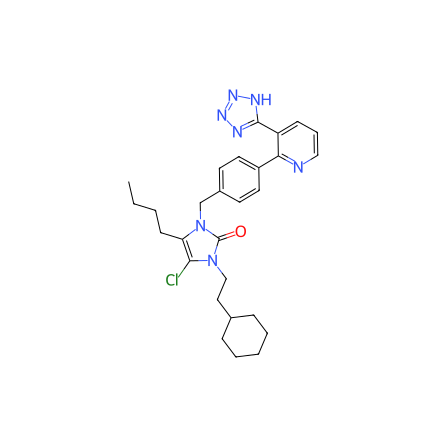 CCCCc1c(Cl)n(CCC2CCCCC2)c(=O)n1Cc1ccc(-c2ncccc2-c2nnn[nH]2)cc1